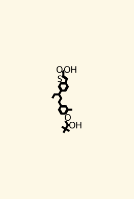 CCC(CCc1ccc(OCC(O)C(C)(C)C)c(C)c1)c1ccc2cc(C(=O)O)sc2c1